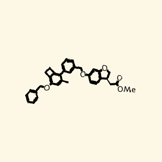 COC(=O)C[C@@H]1COc2cc(OCc3cccc(-c4c(C)cc(OCc5ccccc5)c5c4CC5)c3)ccc21